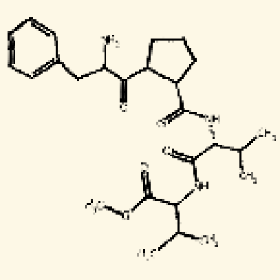 COC(=O)C(NC(=O)[C@H](NC(=O)[C@@H]1CCCC1C(=O)C(N)Cc1ccccc1)C(C)C)C(C)C